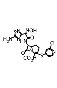 Nc1nc(/C(=N/O)C(=O)N[C@@H]2C(=O)N3C(C(=O)O)=C(Sc4ccnc(Cl)c4)CCC23)ns1